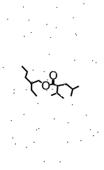 CCCC(CC)COC(=O)C(CC(C)C)C(C)C